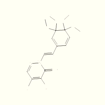 COC1(OC)C=CC(/C=C/n2ncc(Cl)c(Cl)c2=O)=CC1(OC)OC